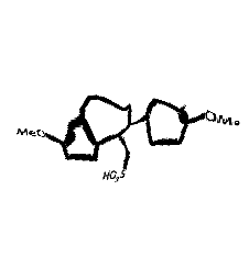 COc1ccc([C@@H]2CCc3cc(OC)ccc3[C@@H]2CS(=O)(=O)O)cc1